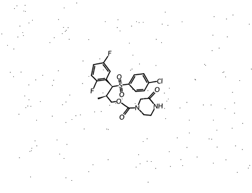 C[C@H](COC(=O)N1CCNC(=O)C1)[C@@H](c1cc(F)ccc1F)S(=O)(=O)c1ccc(Cl)cc1